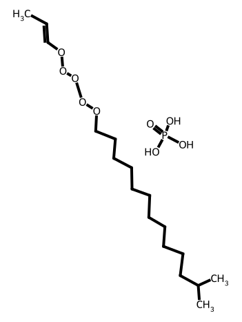 CC=COOOOOCCCCCCCCCCCC(C)C.O=P(O)(O)O